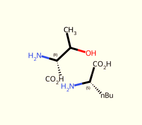 CC(O)[C@@H](N)C(=O)O.CCCC[C@H](N)C(=O)O